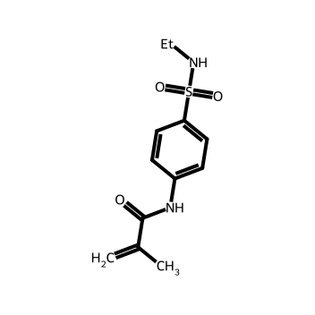 C=C(C)C(=O)Nc1ccc(S(=O)(=O)NCC)cc1